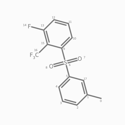 Cc1cccc(S(=O)(=O)c2cccc(F)c2C(F)(F)F)c1